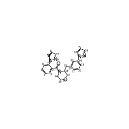 O=C(c1ccccc1-n1nccn1)N1CCOCC1Cc1cccc(-n2cccn2)c1